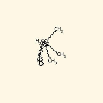 CCCCCCCCO[Si](OCCCCCCCC)(OCCCCCCCC)C(C)CSSSSSSc1nc2ccccc2s1